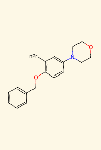 CCCc1cc(N2CCOCC2)ccc1OCc1ccccc1